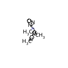 Cc1cc(/C=C/c2cnc3ccccc3n2)c(C)n1C1CCN(C)CC1